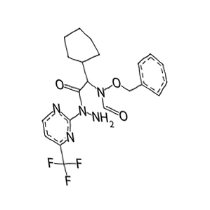 NN(C(=O)C(C1CCCCC1)N(C=O)OCc1ccccc1)c1nccc(C(F)(F)F)n1